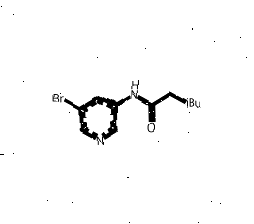 CCC(C)CC(=O)Nc1cncc(Br)c1